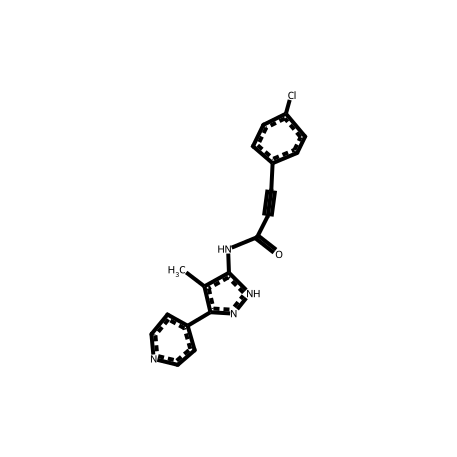 Cc1c(-c2ccncc2)n[nH]c1NC(=O)C#Cc1ccc(Cl)cc1